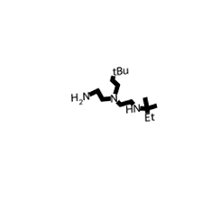 CCC(C)(C)NCCN(CCN)CCC(C)(C)C